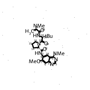 CNc1ncnc2cc(OC)c(NC(=O)[C@@H]3CCCN3C(=O)[C@@H](NC(=O)[C@H](C)NC)C(C)(C)C)cc12